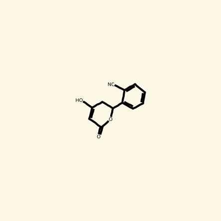 N#Cc1ccccc1C1CC(O)=CC(=O)O1